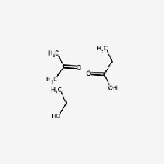 CC(C)=O.CCC(=O)O.CCO